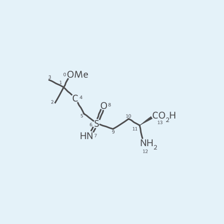 COC(C)(C)CCS(=N)(=O)CC[C@H](N)C(=O)O